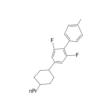 CCCC1CCC(c2cc(F)c(-c3ccc(C)cc3)c(F)c2)CC1